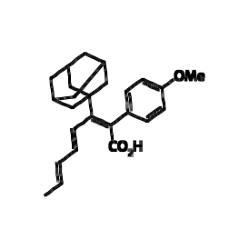 CC=CC=CC(=C(C(=O)O)c1ccc(OC)cc1)C12CC3CC(CC(C3)C1)C2